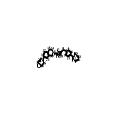 c1cnc(-c2ccc(Cc3cnc(N4CCc5ccc(N6CCOCC6)cc5C4)s3)cc2)nc1